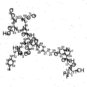 C#C[C@H]1CC(F)(F)CN1C(=O)CNC(=O)c1ccnc2ccc(OCCCCC3CCN(C(=O)[C@H](CC(=O)OC)NC(=O)[C@H](CSCCNC(=O)CCCc4ccc(I)cc4)NC(=O)CN4CCN(COC=O)CCN(COC=O)CCN(CC(=O)O)CC4)CC3)cc12